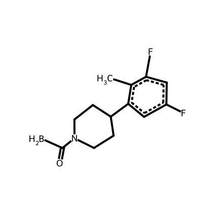 BC(=O)N1CCC(c2cc(F)cc(F)c2C)CC1